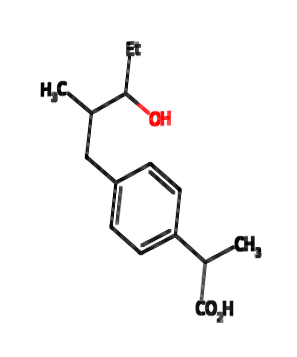 CCC(O)C(C)Cc1ccc(C(C)C(=O)O)cc1